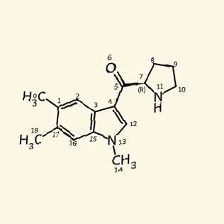 Cc1cc2c(C(=O)[C@H]3CCCN3)cn(C)c2cc1C